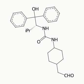 CC(C)[C@@H](NC(=O)NC1CCC(CC=O)CC1)C(O)(c1ccccc1)c1ccccc1